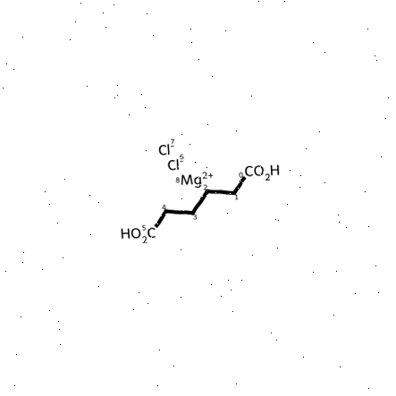 O=C(O)CCCCC(=O)O.[Cl-].[Cl-].[Mg+2]